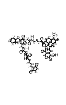 CCN(C(=O)CSCNC(=O)CNC(=O)[C@H](Cc1ccccc1)NC(=O)CNC(=O)CNC(=O)CCCCCN1C(=O)C=CC1=O)[C@H]1CCc2c(C)c(F)cc3nc4c(c1c23)Cn1c-4cc2c(c1=O)COC(=O)[C@H]2O